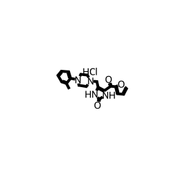 Cc1ccccc1N1CCN(Cc2[nH]c(=O)[nH]c2C(=O)c2ccco2)CC1.Cl